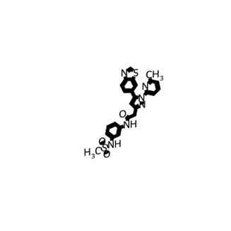 Cc1cccc(-n2nc(CC(=O)Nc3cccc(NS(C)(=O)=O)c3)cc2-c2ccc3ncsc3c2)n1